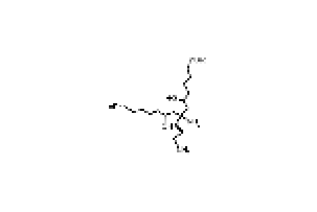 CCCCCCCCCCCCCCC(O)CC(N)(/C=C/CN)CC(O)CCCCCCCCCCCCCC